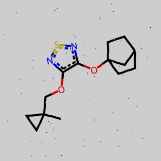 CC1(COc2nsnc2OC23CCC(CC2)C3)CC1